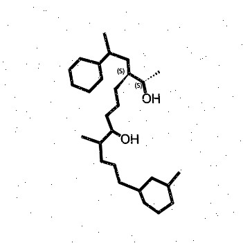 CC1CCCC(CCCC(C)C(O)CCC[C@@H](CC(C)C2CCCCC2)[C@H](C)O)C1